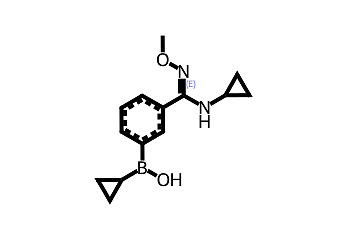 CO/N=C(/NC1CC1)c1cccc(B(O)C2CC2)c1